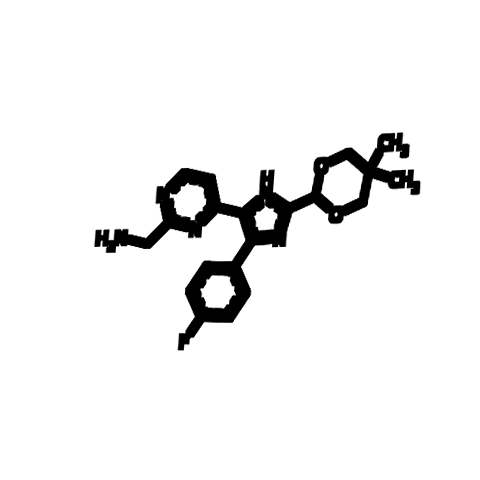 CC1(C)COC(c2nc(-c3ccc(F)cc3)c(-c3ccnc(CN)n3)[nH]2)OC1